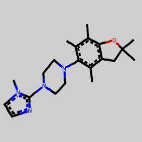 Cc1c(C)c(N2CCN(c3nccn3C)CC2)c(C)c2c1OC(C)(C)C2